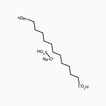 CCCCCCCCCCCCCCCCCCCCCC(=O)O.O=S(=O)([O-])O.[Na+]